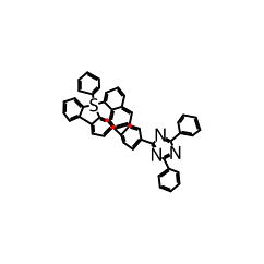 c1ccc(-c2nc(-c3ccccc3)nc(-c3ccc(-c4ccc5c(c4)S(c4ccccc4)(c4cccc6ccccc46)c4ccccc4-5)cc3)n2)cc1